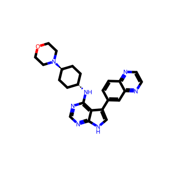 c1cnc2cc(-c3c[nH]c4ncnc(N[C@H]5CC[C@H](N6CCOCC6)CC5)c34)ccc2n1